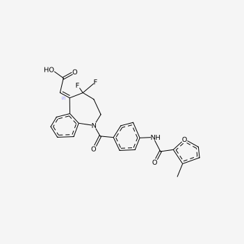 Cc1ccoc1C(=O)Nc1ccc(C(=O)N2CCC(F)(F)/C(=C\C(=O)O)c3ccccc32)cc1